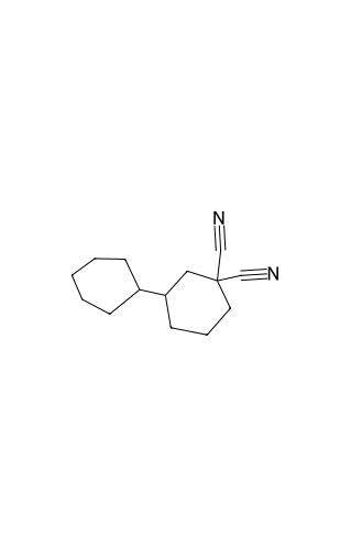 N#CC1(C#N)CCCC(C2CCCCC2)C1